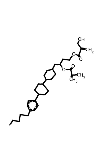 C=C(C)C(=O)OC(CCOC(=O)C(=C)CO)CC1CCC(C2CCC(c3ccc(CCCCF)cc3)CC2)CC1